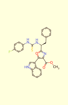 COC(=O)c1nc([C@H](Cc2ccccc2)NC(=S)Nc2ccc(F)cc2)oc1-c1c[nH]c2ccccc12